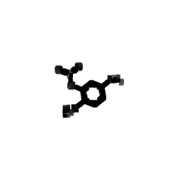 Nc1ccc(N)c(O[S-](=O)=O)c1.[Li+]